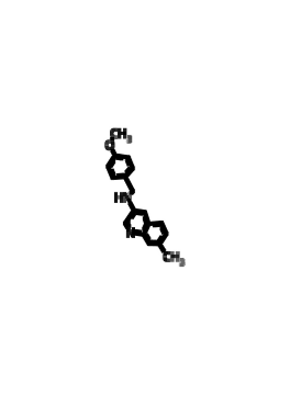 COc1ccc(CNc2cnc3cc(C)ccc3c2)cc1